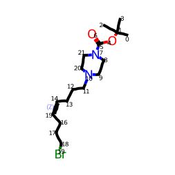 CC(C)(C)OC(=O)N1CCN(CCC/C=C\CCCBr)CC1